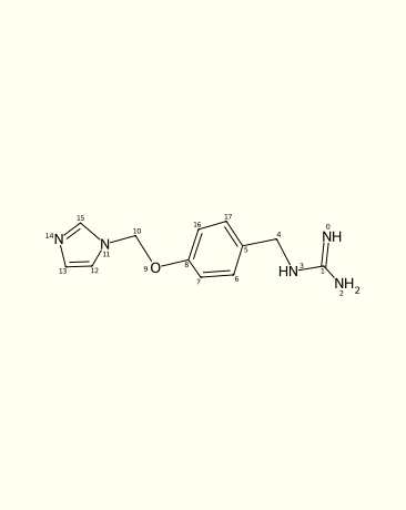 N=C(N)NCc1ccc(OCn2ccnc2)cc1